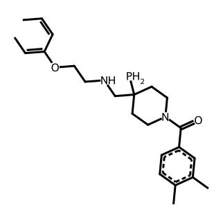 C/C=C\C(=C/C)OCCNCC1(P)CCN(C(=O)c2ccc(C)c(C)c2)CC1